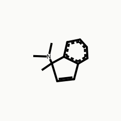 CN(C)C1(C)C=Cc2ccccc21